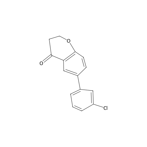 O=C1CCOc2ccc(-c3cccc(Cl)c3)cc21